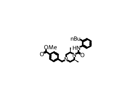 CCCCc1ccccc1NC(=O)N1[C@H](C)CN(Cc2ccc(C(=O)OC)cc2)C[C@@H]1C